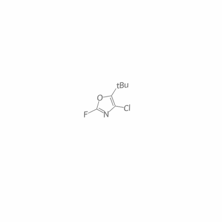 CC(C)(C)c1oc(F)nc1Cl